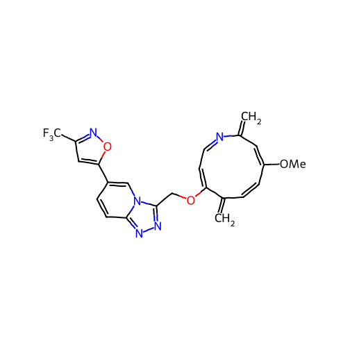 C=c1cc(OC)ccc(=C)c(OCc2nnc3ccc(-c4cc(C(F)(F)F)no4)cn23)ccn1